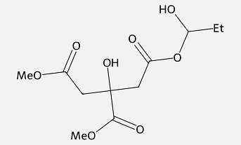 CCC(O)OC(=O)CC(O)(CC(=O)OC)C(=O)OC